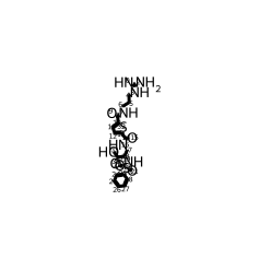 N=C(N)NCCCNC(=O)c1ccc(C(=O)NCC(NS(=O)(=O)c2ccccc2)C(=O)O)s1